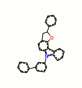 c1ccc(-c2cccc(-n3c4ccccc4c4c5c(ccc43)CC(c3ccccc3)O5)c2)cc1